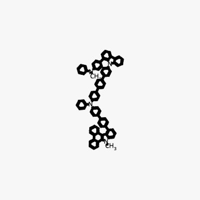 CN(c1ccccc1)c1ccc(-c2cccc3c4ccccc4n(-c4ccc(-c5ccc(-c6ccc(N(c7ccccc7)c7ccc(-c8ccc(-c9cccc%10c9c9c%11ccccc%11c%11ccccc%11c9n%10C)cc8)cc7)cc6)cc5)cc4)c23)cc1